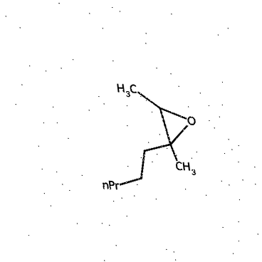 CCCCCC1(C)OC1C